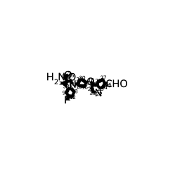 NC(=O)C1(C(=O)N(c2ccc(F)cc2)c2ccc(Oc3ccnc4cc(C=O)ccc34)cc2)CC1